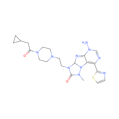 CN1C(=O)N(CCN2CCN(C(=O)CC3CC3)CC2)C2N=C3C(=C(c4nccs4)N=CN3N)N21